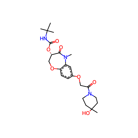 CN1C(=O)[C@@H](OC(=O)NC(C)(C)C)COc2ccc(OCC(=O)N3CCC(C)(O)CC3)cc21